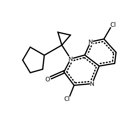 O=c1c(Cl)nc2ccc(Cl)nc2n1C1(C2CCCC2)CC1